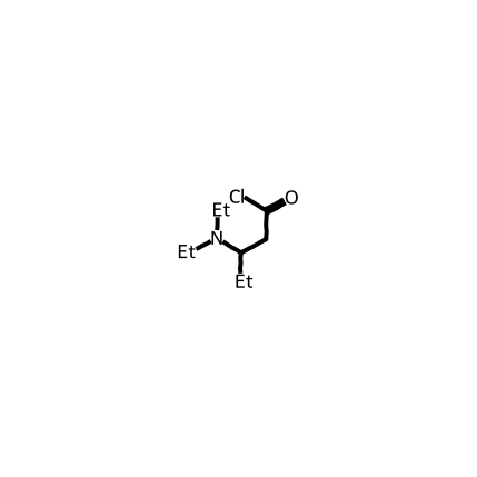 CCC(CC(=O)Cl)N(CC)CC